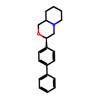 c1ccc(-c2ccc([C@@H]3CN4CCCCC4CO3)cc2)cc1